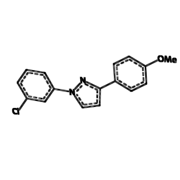 COc1ccc(-c2ccn(-c3cccc(Cl)c3)n2)cc1